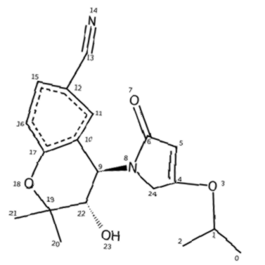 CC(C)OC1=CC(=O)N([C@@H]2c3cc(C#N)ccc3OC(C)(C)[C@H]2O)C1